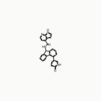 O=C(NC1c2ccccc2-c2c(-c3ccc(=O)[nH]c3)cccc21)c1ccnc2[nH]ccc12